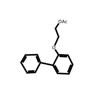 CC(=O)OCCOc1ccccc1-c1ccccc1